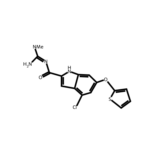 CNC(N)=NC(=O)c1cc2c(Cl)cc(Oc3cccs3)cc2[nH]1